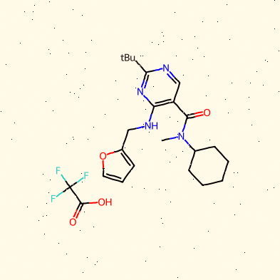 CN(C(=O)c1cnc(C(C)(C)C)nc1NCc1ccco1)C1CCCCC1.O=C(O)C(F)(F)F